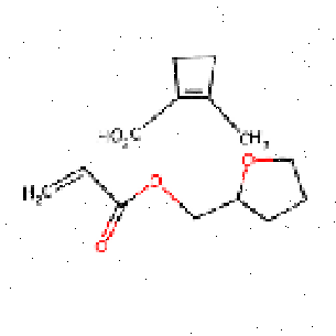 C=CC(=O)OCC1CCCO1.CC1=C(C(=O)O)CC1